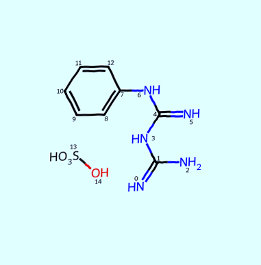 N=C(N)NC(=N)Nc1ccccc1.O=S(=O)(O)O